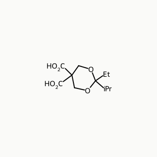 CCC1(C(C)C)OCC(C(=O)O)(C(=O)O)CO1